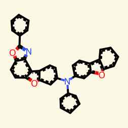 c1ccc(-c2nc3c(ccc4oc5cc(N(c6ccccc6)c6ccc7c(c6)oc6ccccc67)ccc5c43)o2)cc1